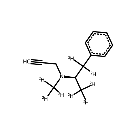 [2H]C([2H])([2H])[C@@H](N(CC#C)C([2H])([2H])[2H])C([2H])([2H])c1ccccc1